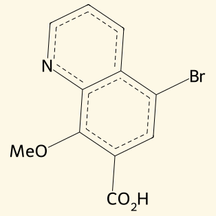 COc1c(C(=O)O)cc(Br)c2cccnc12